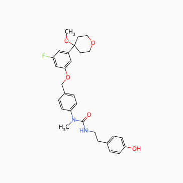 COC1(c2cc(F)cc(OCc3ccc(N(C)C(=O)NCCc4ccc(O)cc4)cc3)c2)CCOCC1